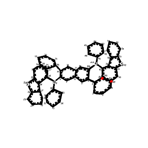 c1ccc(-c2cc3cc(N(c4ccccc4)c4cccc5sc6ccccc6c45)c(-c4ccccc4)cc3cc2N(c2ccccc2)c2cccc3sc4ccccc4c23)cc1